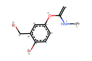 C=C(NCCC)Oc1ccc(Br)c(CBr)c1